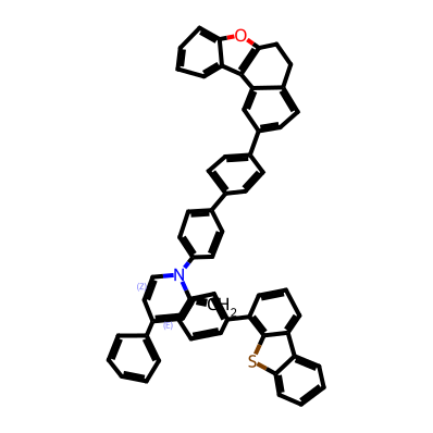 C=C/C=C(\C=C/N(c1ccc(-c2ccc(-c3ccc4c(c3)-c3c(oc5ccccc35)CC4)cc2)cc1)c1cccc(-c2cccc3c2sc2ccccc23)c1)c1ccccc1